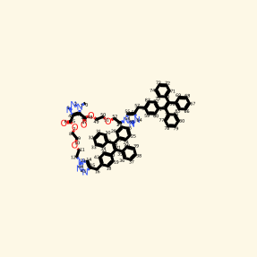 Cn1nnc(C(=O)OCCOCCn2cc(Cc3ccc(C(=C(c4ccccc4)c4ccccc4)c4ccccc4)cc3)nn2)c1C(=O)OCCOCCn1cc(Cc2ccc(C(=C(c3ccccc3)c3ccccc3)c3ccccc3)cc2)nn1